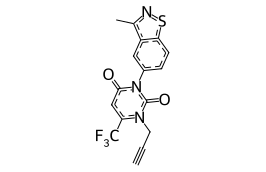 C#CCn1c(C(F)(F)F)cc(=O)n(-c2ccc3snc(C)c3c2)c1=O